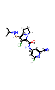 CC(C)NSc1c(Cl)c(C(=O)Nc2cc(F)nc(C#N)c2)n2c1CCC2